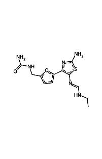 CCNC=Nc1sc(N)nc1-c1ccc(CNC(N)=O)o1